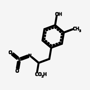 Cc1cc(CC(N=S(=O)=O)C(=O)O)ccc1O